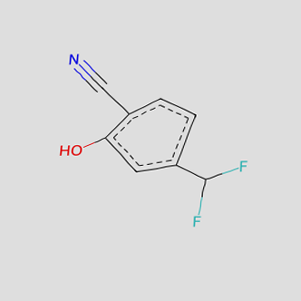 N#Cc1ccc(C(F)F)cc1O